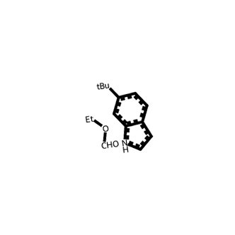 CC(C)(C)c1ccc2cc[nH]c2c1.CCOC=O